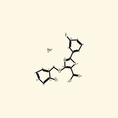 O=C([O-])c1sc(-c2cccc(F)c2)nc1OCc1ccccc1Cl.[Na+]